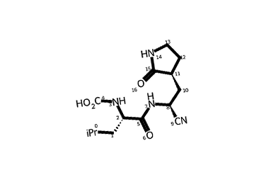 CC(C)C[C@H](NC(=O)O)C(=O)N[C@H](C#N)C[C@@H]1CCNC1=O